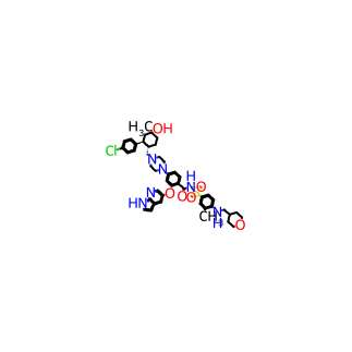 Cc1cc(S(=O)(=O)NC(=O)c2ccc(N3CCN(C[C@H]4CC[C@](C)(O)C[C@@H]4c4ccc(Cl)cc4)CC3)cc2Oc2cnc3[nH]ccc3c2)ccc1NCC1CCOCC1